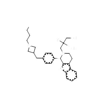 C[C@@H]1Cc2c([nH]c3ccccc23)[C@@H](c2ccc([C@H](F)C3CN(CCCF)C3)cc2)N1CC(F)(F)CO